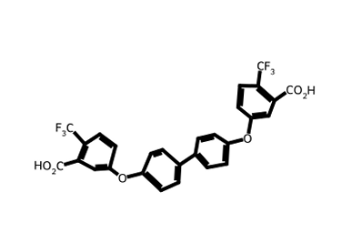 O=C(O)c1cc(Oc2ccc(-c3ccc(Oc4ccc(C(F)(F)F)c(C(=O)O)c4)cc3)cc2)ccc1C(F)(F)F